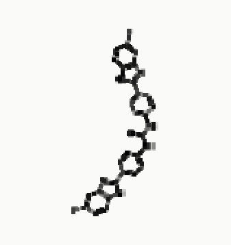 O=C(Nc1ccc(-c2nc3cc(F)ccc3[nH]2)cc1)Nc1ccc(-c2nc3cc(F)ccc3[nH]2)cc1